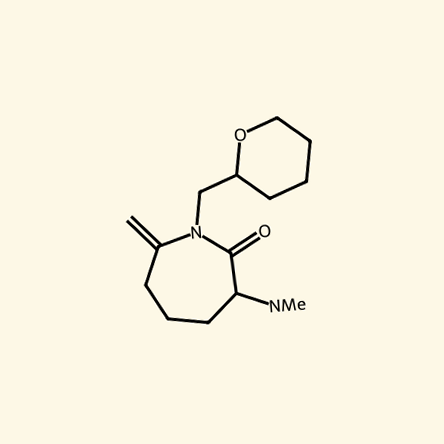 C=C1CCCC(NC)C(=O)N1CC1CCCCO1